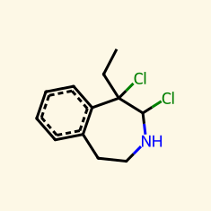 CCC1(Cl)c2ccccc2CCNC1Cl